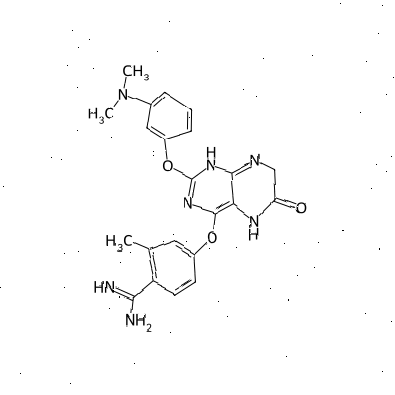 Cc1cc(OC2=C3NC(=O)CN=C3NC(Oc3cccc(N(C)C)c3)=N2)ccc1C(=N)N